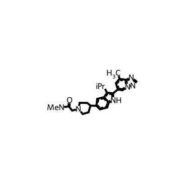 CNC(=O)CN1CCC(c2ccc3[nH]c(-c4cc(C)c5ncnn5c4)c(C(C)C)c3c2)CC1